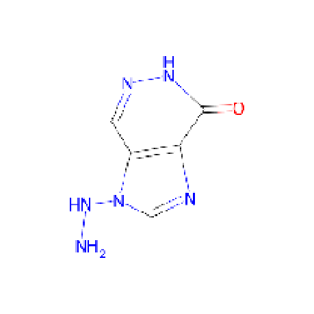 NNn1cnc2c(=O)[nH]ncc21